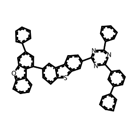 c1ccc(-c2cccc(-c3nc(-c4ccccc4)nc(-c4ccc5c(c4)sc4ccc(-c6cc(-c7ccccc7)cc7oc8ccccc8c67)cc45)n3)c2)cc1